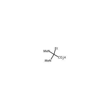 CCC(NC)(NC)C(=O)O